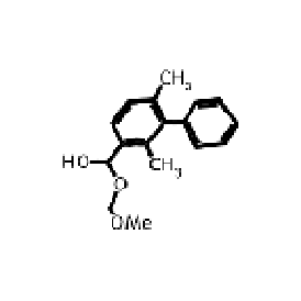 COCOC(O)c1ccc(C)c(-c2ccccc2)c1C